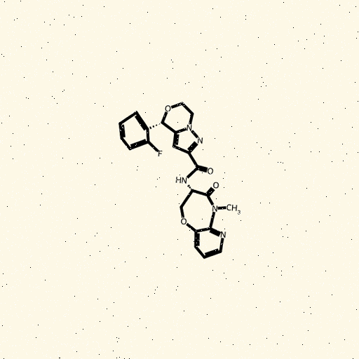 CN1C(=O)[C@@H](NC(=O)c2cc3n(n2)CCO[C@H]3c2ccccc2F)COc2cccnc21